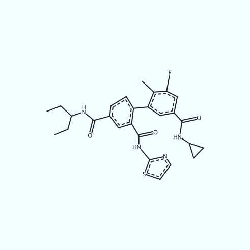 CCC(CC)NC(=O)c1ccc(-c2cc(C(=O)NC3CC3)cc(F)c2C)c(C(=O)Nc2nccs2)c1